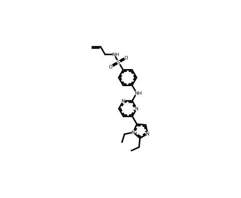 C=CCNS(=O)(=O)c1ccc(Nc2nccc(-c3cnc(CC)n3CC)n2)cc1